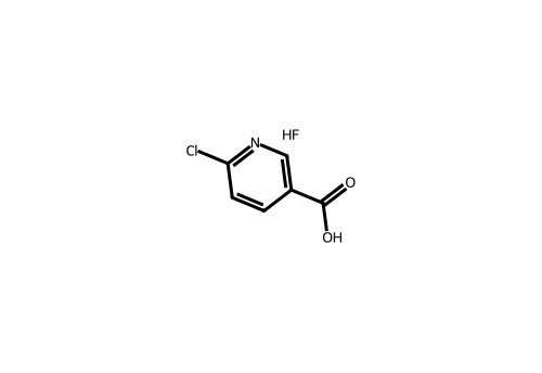 F.O=C(O)c1ccc(Cl)nc1